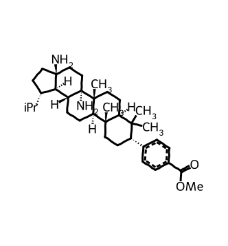 COC(=O)c1ccc([C@@H]2CC[C@]3(C)[C@H]4CC[C@@H]5[C@H]6[C@H](C(C)C)CC[C@]6(N)CC[C@@]5(N)[C@]4(C)CC[C@H]3C2(C)C)cc1